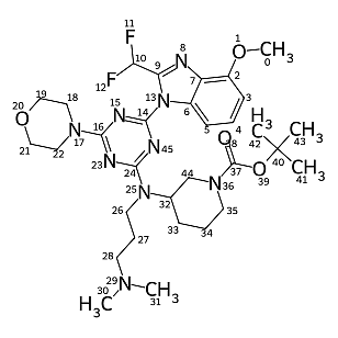 COc1cccc2c1nc(C(F)F)n2-c1nc(N2CCOCC2)nc(N(CCCN(C)C)C2CCCN(C(=O)OC(C)(C)C)C2)n1